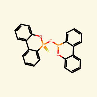 S=P1(OP2Oc3ccccc3-c3ccccc32)Oc2ccccc2-c2ccccc21